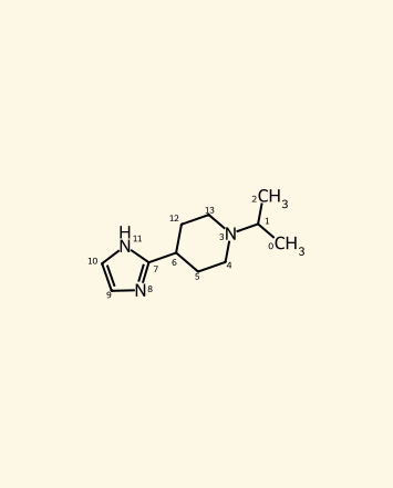 CC(C)N1CCC(c2ncc[nH]2)CC1